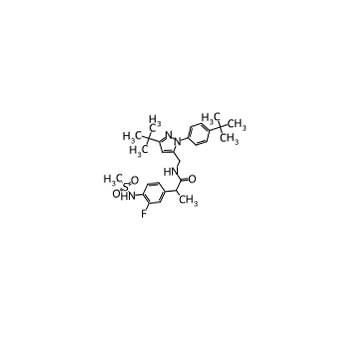 CC(C(=O)NCc1cc(C(C)(C)C)nn1-c1ccc(C(C)(C)C)cc1)c1ccc(NS(C)(=O)=O)c(F)c1